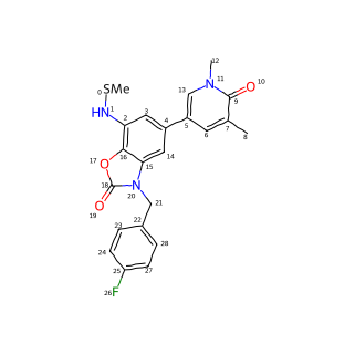 CSNc1cc(-c2cc(C)c(=O)n(C)c2)cc2c1oc(=O)n2Cc1ccc(F)cc1